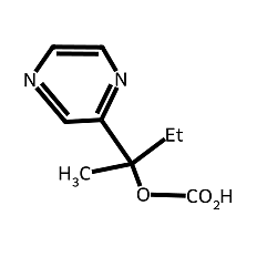 CCC(C)(OC(=O)O)c1cnccn1